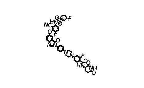 N#Cc1c(NS(=O)(=O)N2CC[C@@H](F)C2)ccc(F)c1Oc1ccc2ncn(-c3ccc(N4CCN(c5ccc(C(=O)NC6CCC(=O)NC6=O)c(F)c5)CC4)cc3)c(=O)c2c1